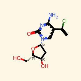 C=C(Cl)c1cn([C@@H]2C[C@@H](O)[C@H](CO)O2)c(=O)nc1N